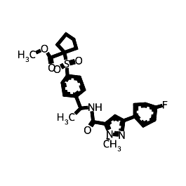 COC(=O)C1(S(=O)(=O)c2ccc(C(C)NC(=O)c3cc(-c4ccc(F)cc4)nn3C)cc2)CCCC1